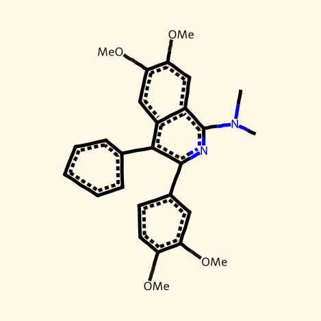 COc1ccc(-c2nc(N(C)C)c3cc(OC)c(OC)cc3c2-c2ccccc2)cc1OC